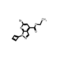 CCOC(=O)c1cc(Br)nc2c1cnn2C1=CC=C1